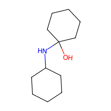 OC1(NC2CCCCC2)CCCCC1